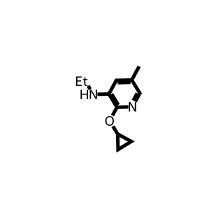 CCNc1cc(C)cnc1OC1CC1